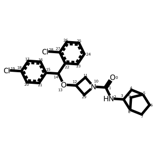 O=C(NC1CC2CCC1C2)N1CC(OC(c2ccc(Cl)cc2)c2ccccc2Cl)C1